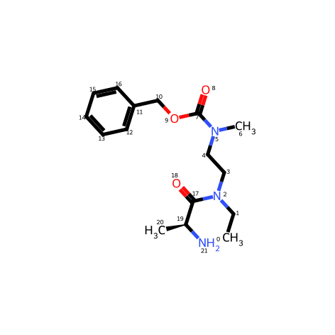 CCN(CCN(C)C(=O)OCc1ccccc1)C(=O)[C@H](C)N